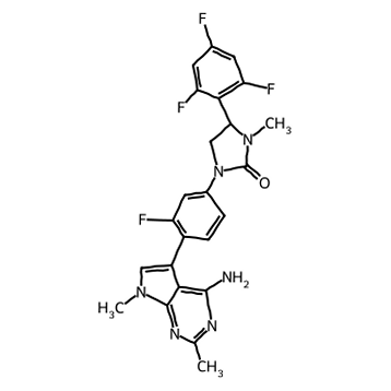 Cc1nc(N)c2c(-c3ccc(N4CC(c5c(F)cc(F)cc5F)N(C)C4=O)cc3F)cn(C)c2n1